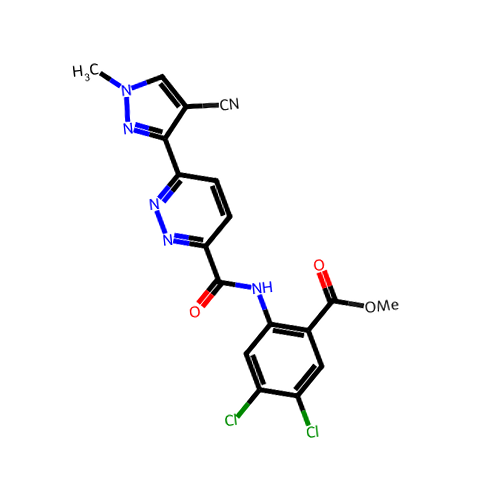 COC(=O)c1cc(Cl)c(Cl)cc1NC(=O)c1ccc(-c2nn(C)cc2C#N)nn1